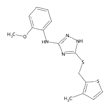 COc1ccccc1Nc1n[nH]c(SCc2sccc2C)n1